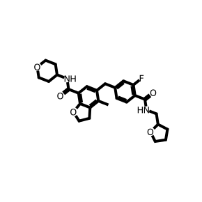 Cc1c(Cc2ccc(C(=O)NCC3CCCO3)c(F)c2)cc(C(=O)NC2CCOCC2)c2c1CCO2